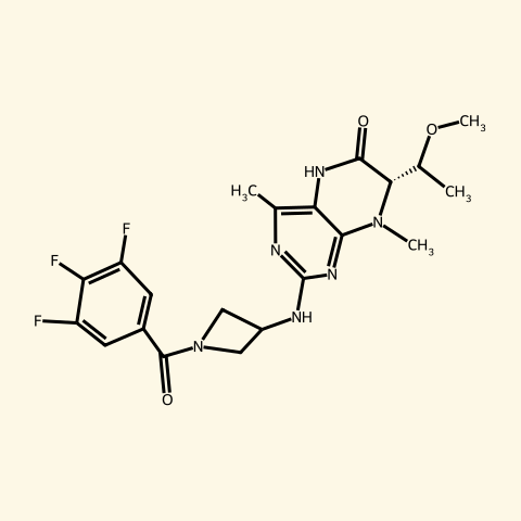 COC(C)[C@H]1C(=O)Nc2c(C)nc(NC3CN(C(=O)c4cc(F)c(F)c(F)c4)C3)nc2N1C